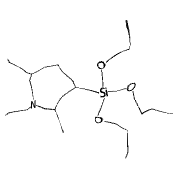 CCO[Si](OCC)(OCC)C1CC(C)N(C)C1C